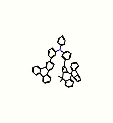 CC1(C)c2ccccc2C2(c3ccccc3-c3ccccc32)c2cc(-c3cccc(N(c4ccccc4)c4cccc(-c5ccc6c7ccccc7c7ccccc7c6c5)c4)c3)ccc21